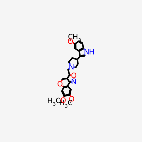 COc1ccc2[nH]cc(C3CCN(CC4ON=C5c6cc(OC)c(OC)cc6OCC54)CC3)c2c1